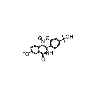 COc1ccc2c([N+](=O)[O-])c(-c3ccc(C(C)(C)O)cc3)[nH]c(=O)c2c1